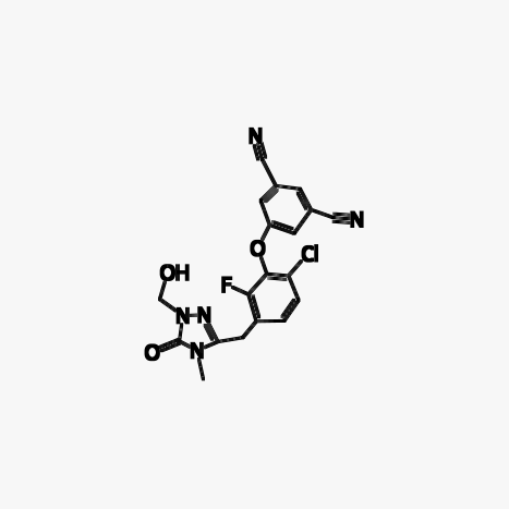 Cn1c(Cc2ccc(Cl)c(Oc3cc(C#N)cc(C#N)c3)c2F)nn(CO)c1=O